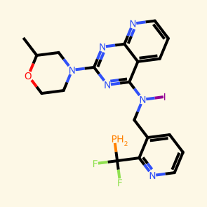 CC1CN(c2nc(N(I)Cc3cccnc3C(F)(F)P)c3cccnc3n2)CCO1